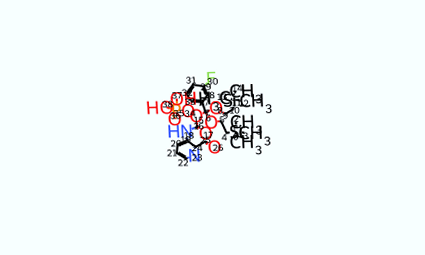 C[Si](C)(C)CCOC(OCC[Si](C)(C)C)(OC(=O)Nc1cccnc1C=O)c1cc(F)ccc1OP(=O)(O)O